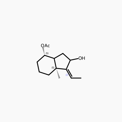 C/C=C1\C(O)CC2[C@@H](OC(C)=O)CCC[C@]12C